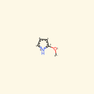 [CH2]Oc1ccc[nH]1